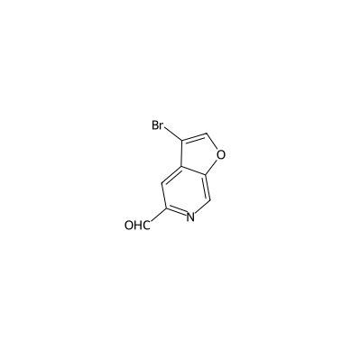 O=Cc1cc2c(Br)coc2cn1